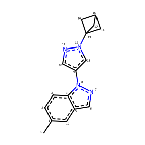 Cc1ccc2c(cnn2-c2cnn(C34CC(C3)C4)c2)c1